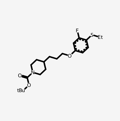 CCSc1ccc(OCCCC2CCN(C(=O)OC(C)(C)C)CC2)cc1F